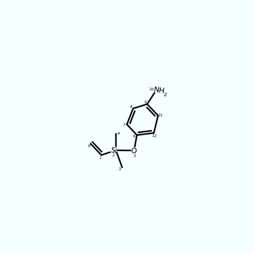 C=C[Si](C)(C)Oc1ccc(N)cc1